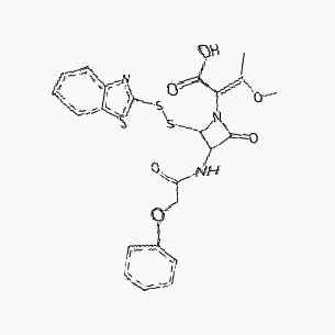 COC(C)=C(C(=O)O)N1C(=O)C(NC(=O)COc2ccccc2)C1SSc1nc2ccccc2s1